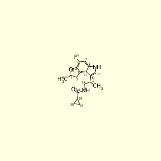 CC1Cc2c(c(F)cc3[nH]cc(C(C)CNC(=O)C4CC4)c23)O1